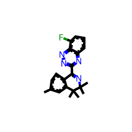 Cc1ccc2c(c1)C(C)(C)C(C)(C)N=C2c1nnc2c(F)cccc2n1